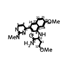 CNc1nccc(-c2cc(NC(CCOC)C(N)=O)c3cc(OC)ccc3c2)n1